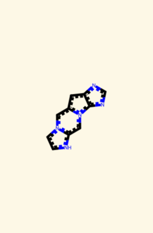 c1nc2cc3cn4cc[nH]c4cn3c2n1